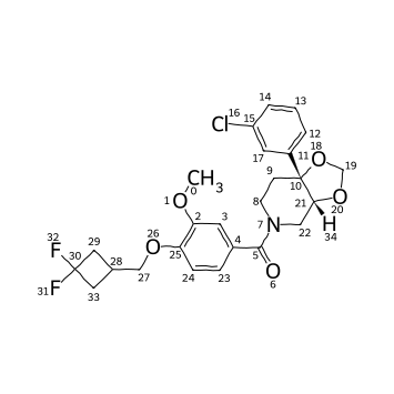 COc1cc(C(=O)N2CC[C@]3(c4cccc(Cl)c4)OCO[C@@H]3C2)ccc1OCC1CC(F)(F)C1